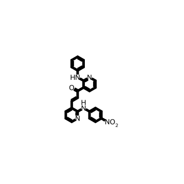 O=C(/C=C/c1cccnc1Nc1ccc([N+](=O)[O-])cc1)c1cccnc1Nc1ccccc1